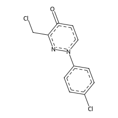 O=c1ccn(-c2ccc(Cl)cc2)nc1CCl